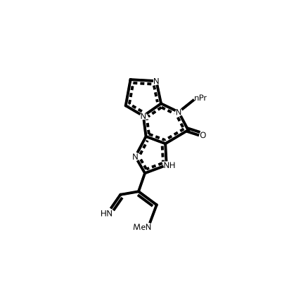 CCCn1c(=O)c2[nH]c(/C(C=N)=C/NC)nc2n2ccnc12